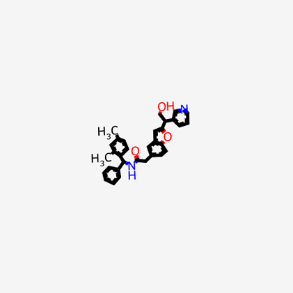 Cc1ccc(C(NC(=O)Cc2ccc3oc(C(CO)c4cccnc4)cc3c2)c2ccccc2)c(C)c1